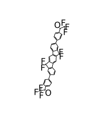 O=C(c1ccc(-c2ccc3c(c2)C(F)(F)c2cc4c(cc2-3)C(F)(F)c2cc(-c3ccc(C(=O)C(F)(F)F)cc3)ccc2-4)cc1)C(F)(F)F